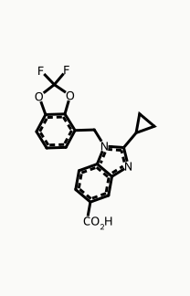 O=C(O)c1ccc2c(c1)nc(C1CC1)n2Cc1cccc2c1OC(F)(F)O2